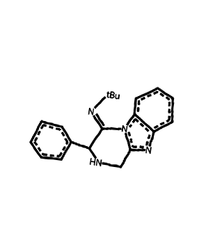 CC(C)(C)/N=C1/C(c2ccccc2)NCc2nc3ccccc3n21